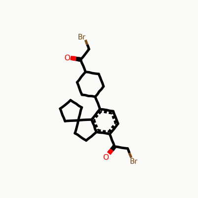 O=C(CBr)c1ccc(C2CCC(C(=O)CBr)CC2)c2c1CCC21CCCC1